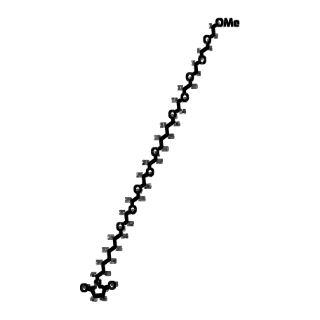 COCCOCCOCCOCCOCCOCCCCCOCCOCCOCCOCCOCCCCCCCCN1C(=O)C=CC1=O